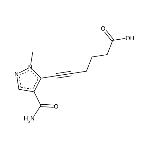 Cn1ncc(C(N)=O)c1C#CCCCC(=O)O